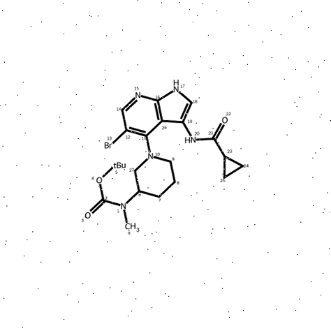 CN(C(=O)OC(C)(C)C)C1CCCN(c2c(Br)cnc3[nH]cc(NC(=O)C4CC4)c23)C1